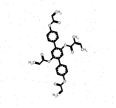 C=CC(=O)Oc1ccc(-c2cc(OC(=O)/C(C)=C\C)c(-c3ccc(OC(=O)C=C)cc3)cc2OC(=O)C=C)cc1